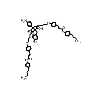 CCCCc1ccc(OC(=O)C=Cc2ccc(OCCCCCCC(CCCCCCOc3ccc(C=CC(=O)Oc4ccc(CCCC)cc4)cc3)(c3ccc(N)cc3)C(Cc3ccc(N)cc3)(C(=O)O)C(=O)O)cc2)cc1